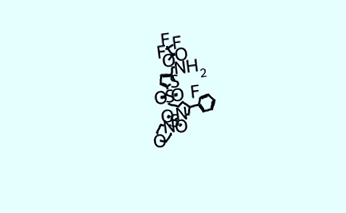 NC(OC(=O)C(F)(F)F)c1ccc(S(=O)(=O)CC2CC(c3ccccc3F)CN2S(=O)(=O)N2CCOCC2)s1